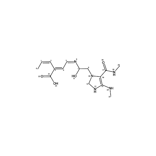 C\C=C/C(=C\C=N/C(O)CN1CNC(NC)=C1C(=O)NC)C(=O)O